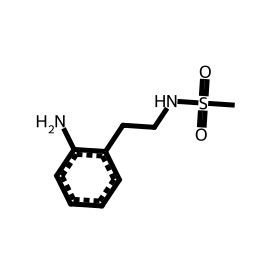 CS(=O)(=O)NCCc1ccccc1N